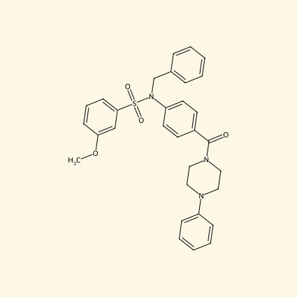 COc1cccc(S(=O)(=O)N(Cc2ccccc2)c2ccc(C(=O)N3CCN(c4ccccc4)CC3)cc2)c1